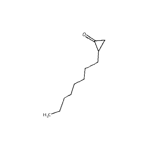 CCCCCCCCC1CC1=O